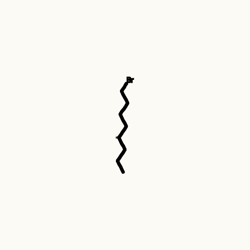 CCC[CH]CCCCBr